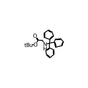 CC(C)(C)OC(=O)CNC(c1ccccc1)(c1ccccc1)c1ccccc1